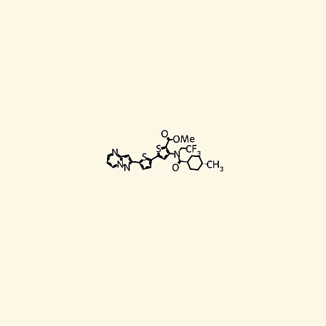 COC(=O)c1sc(-c2ccc(-c3cc4ncccn4n3)s2)cc1N(CC(F)(F)F)C(=O)[C@H]1CC[C@H](C)CC1